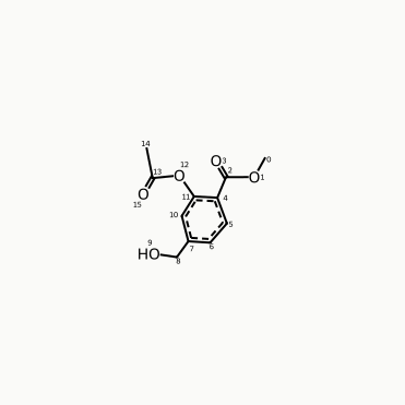 COC(=O)c1ccc(CO)cc1OC(C)=O